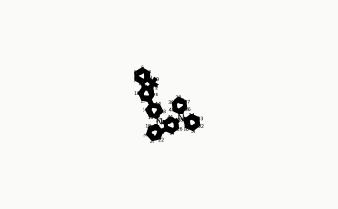 CC1(C)c2ccccc2-c2ccc(-c3ccc(-n4c5ccccc5c5ccc(N(c6ccccc6)c6ccccc6)cc54)cc3)cc21